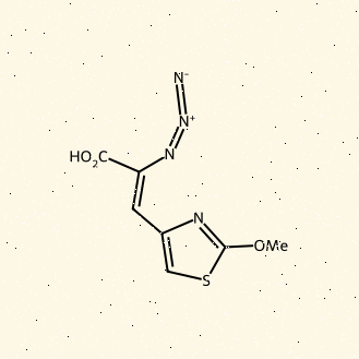 COc1nc(/C=C(\N=[N+]=[N-])C(=O)O)cs1